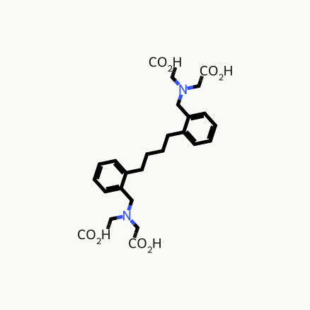 O=C(O)CN(CC(=O)O)Cc1ccccc1CCCCc1ccccc1CN(CC(=O)O)CC(=O)O